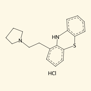 Cl.c1ccc2c(c1)Nc1c(CCN3CCCC3)cccc1S2